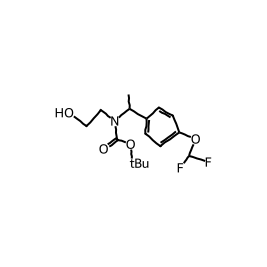 CC(c1ccc(OC(F)F)cc1)N(CCO)C(=O)OC(C)(C)C